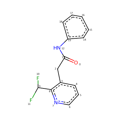 O=C(Cc1cccnc1C(F)F)Nc1ccccc1